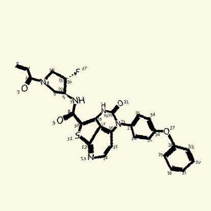 C=CC(=O)N1C[C@H](NC(=O)c2sc3nccc4c3c2NC(=O)N4c2ccc(Oc3ccccc3)cc2)[C@@H](F)C1